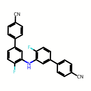 N#Cc1ccc(-c2ccc(F)c(Nc3cc(-c4ccc(C#N)cc4)ccc3F)c2)cc1